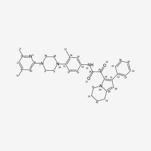 Cc1cc(C)nc(N2CCN(c3ccc(NC(=O)C(=O)c4c(-c5ccccc5)cc5n4CCCC5)cc3C)CC2)c1